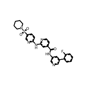 O=C(Nc1cncc(-c2ccccc2F)c1)c1ccnc(Nc2ccc(S(=O)(=O)N3CCCCC3)cn2)c1